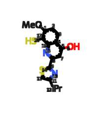 COc1ccc2c(O)cc(-c3nc(C(C)C)cs3)nc2c1S